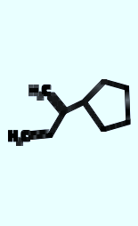 C=CC(=C)C1CCCC1